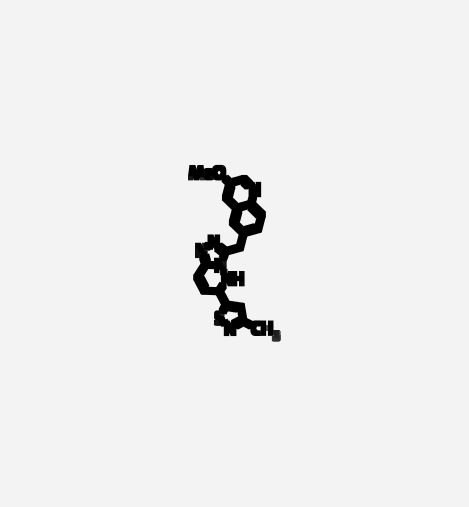 COc1cnc2ccc(Cc3nnc4n3NC(c3cc(C)ns3)C=C4)cc2c1